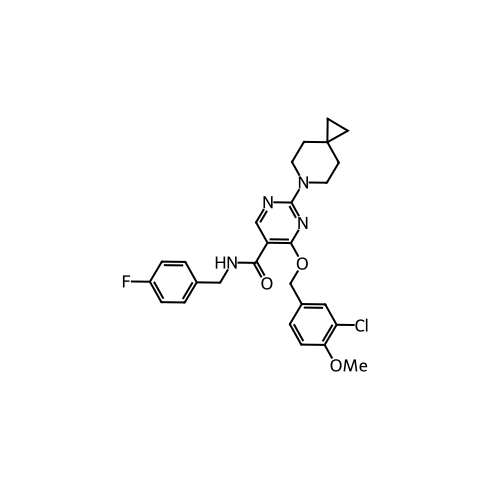 COc1ccc(COc2nc(N3CCC4(CC3)CC4)ncc2C(=O)NCc2ccc(F)cc2)cc1Cl